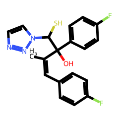 CC(=Cc1ccc(F)cc1)C(O)(c1ccc(F)cc1)C(S)n1ccnn1